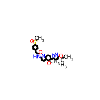 CC[S+]([O-])c1ccc(CC(=O)Nc2ccc3c(n2)CCC(C)(c2ccc(OC(C)C)nn2)C3=O)cc1